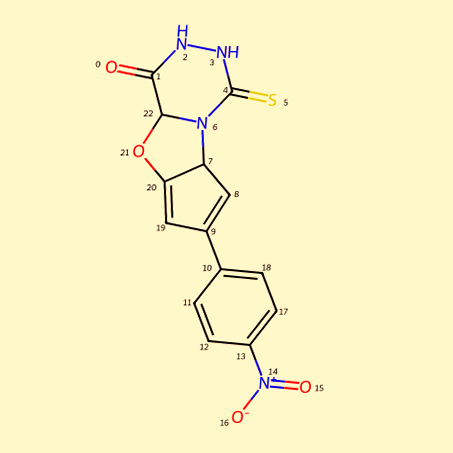 O=C1NNC(=S)N2C3C=C(c4ccc([N+](=O)[O-])cc4)C=C3OC12